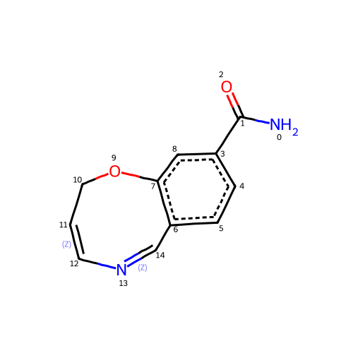 NC(=O)c1ccc2c(c1)OC/C=C\N=C/2